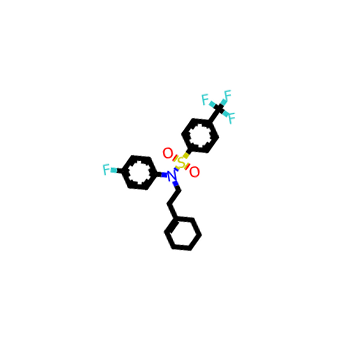 O=S(=O)(c1ccc(C(F)(F)F)cc1)N(CCC1=CCCCC1)c1ccc(F)cc1